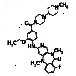 CCOc1cc(C(=O)N2CCN(C3CCN(C)CC3)CC2)ccc1Nc1cc2c(cn1)N(C)C(=O)c1c(F)cccc1N2C